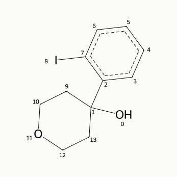 OC1(c2ccccc2I)CCOCC1